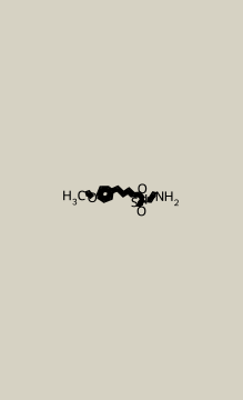 CCOc1ccc(CC/C=C2\SC(=O)N(CCN)C2=O)cc1